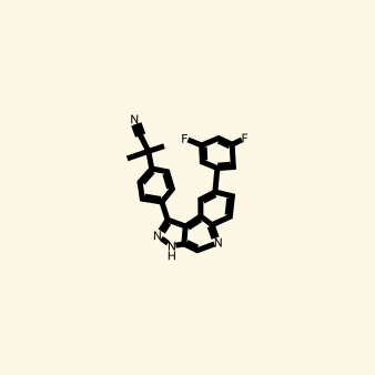 CC(C)(C#N)c1ccc(-c2n[nH]c3cnc4ccc(-c5cc(F)cc(F)c5)cc4c23)cc1